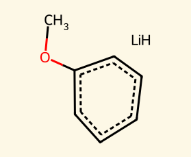 COc1ccccc1.[LiH]